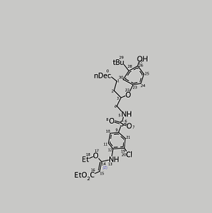 CCCCCCCCCCCCC(CNS(=O)(=O)c1ccc(N/C(=C/C(=O)OCC)OCC)c(Cl)c1)Oc1ccc(O)c(C(C)(C)C)c1